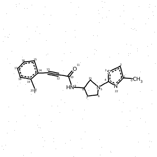 Cc1csc(N2CCC(NC(=O)C#Cc3ccccc3F)C2)n1